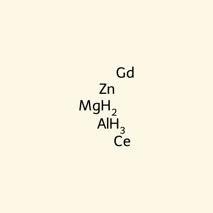 [AlH3].[Ce].[Gd].[MgH2].[Zn]